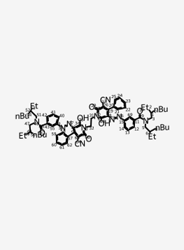 CCCCC(CC)CN(CC(CC)CCCC)C(=O)c1cccc(/N=N/c2c(-c3ccccc3)c(C#N)c(=O)n(CCn3c(O)c(/N=N/c4cccc(C(=O)N(CC(CC)CCCC)CC(CC)CCCC)c4)c(-c4ccccc4)c(C#N)c3=O)c2O)c1